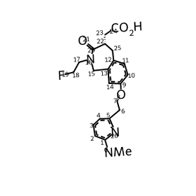 CNc1cccc(CCOc2ccc3c(c2)CN(CCF)C(=O)[C@H](CC(=O)O)C3)n1